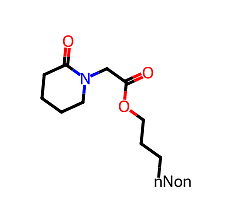 CCCCCCCCCCCCOC(=O)CN1CCCCC1=O